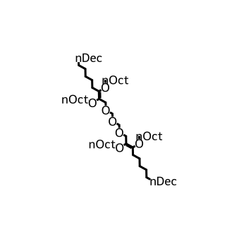 CCCCCCCCCCCCCCCC(OCCCCCCCC)=C(COCOCOCC(OCCCCCCCC)=C(CCCCCCCCCCCCCCC)OCCCCCCCC)OCCCCCCCC